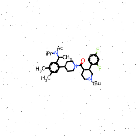 CC(=O)N(C(C)C)C(C)c1cc(C)c(C)cc1C1CCN(C(=O)C2CCN(C(C)(C)C)CC2c2ccc(F)cc2F)CC1